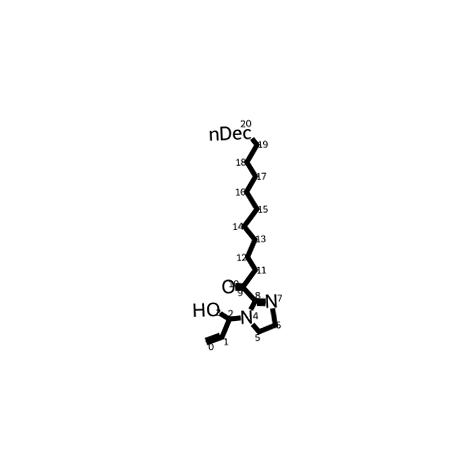 C=CC(O)N1CCN=C1C(=O)CCCCCCCCCCCCCCCCCCC